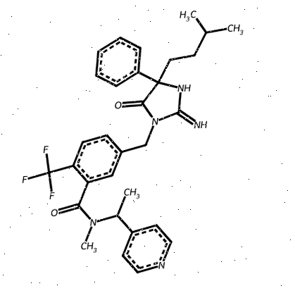 CC(C)CCC1(c2ccccc2)NC(=N)N(Cc2ccc(C(F)(F)F)c(C(=O)N(C)C(C)c3ccncc3)c2)C1=O